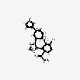 NC(=O)c1ccc(F)c(C(F)(F)F)c1C1OC=NN1c1cccc(-c2ccsc2)c1